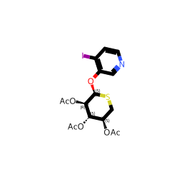 CC(=O)O[C@@H]1[C@@H](OC(C)=O)[C@@H](Oc2cnccc2I)SC[C@H]1OC(C)=O